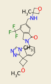 COC1CC(c2cccc(N3Cc4c(cc(CNC5(C)COC5)cc4C(F)(F)F)C3=O)c2)(c2nncn2C)C1